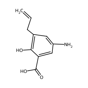 C=CCc1cc(N)cc(C(=O)O)c1O